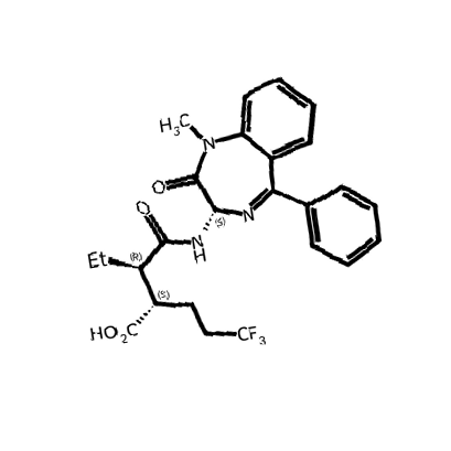 CC[C@@H](C(=O)N[C@H]1N=C(c2ccccc2)c2ccccc2N(C)C1=O)[C@H](CCC(F)(F)F)C(=O)O